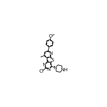 COc1ccc(-c2cc(C)c3c(n2)sc2c(N4CCNCC4)nc(Cl)nc23)cc1